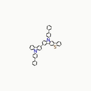 c1ccc(-c2ccc(-n3c4ccccc4c4cc(-c5ccc6c(c5)c5cc7sc8ccccc8c7cc5n6-c5ccc(-c6ccccc6)cc5)ccc43)cc2)cc1